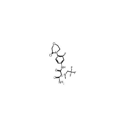 CN(CC(F)(F)F)[C@H](C(N)=O)C(=O)Nc1ccc(N2CCOCC2=O)c(F)c1